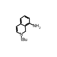 CC(C)(C)N1C=Cc2cccc(N)c2C1